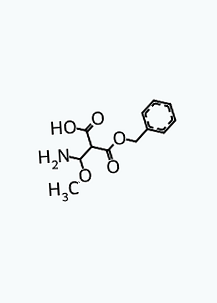 COC(N)C(C(=O)O)C(=O)OCc1ccccc1